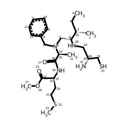 CC[C@H](C)[C@@H](CN(Cc1ccccc1)[C@@H](C)C(=O)N[C@@H](CCSC)C(=O)OC)NC[C@@H](N)CS